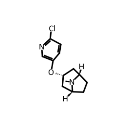 CN1[C@@H]2CC[C@H]1C[C@@H](Oc1ccc(Cl)nc1)C2